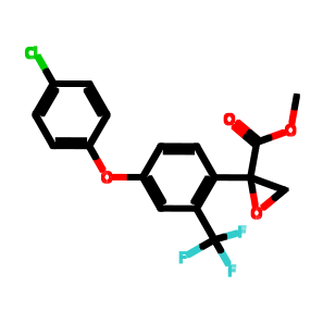 COC(=O)C1(c2ccc(Oc3ccc(Cl)cc3)cc2C(F)(F)F)CO1